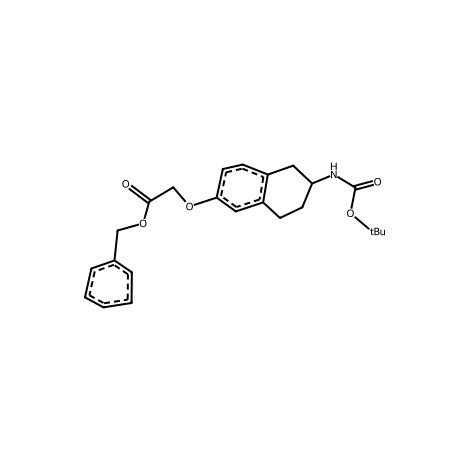 CC(C)(C)OC(=O)NC1CCc2cc(OCC(=O)OCc3ccccc3)ccc2C1